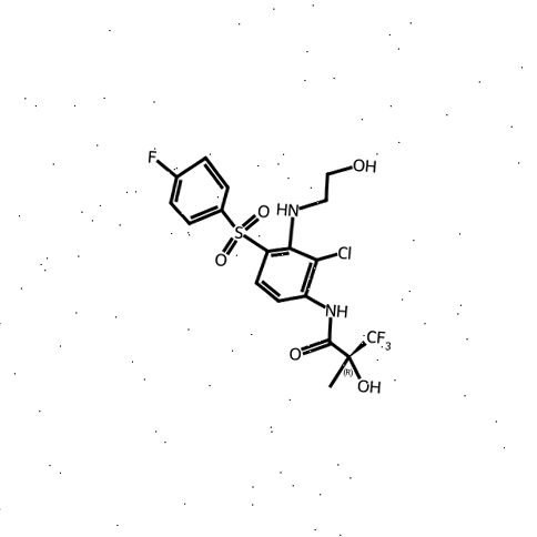 C[C@@](O)(C(=O)Nc1ccc(S(=O)(=O)c2ccc(F)cc2)c(NCCO)c1Cl)C(F)(F)F